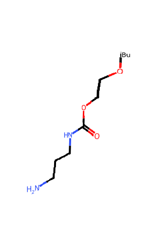 CCC(C)OCCOC(=O)NCCCN